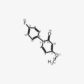 COc1ccn(-c2ccc(F)cc2)c(=O)c1